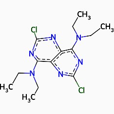 CCN(CC)c1nc(Cl)nc2c(N(CC)CC)nc(Cl)nc12